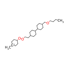 [CH2-][C+]1CCC(OOCCC2CCC(C3CCC(COCCCC)CC3)CC2)CC1